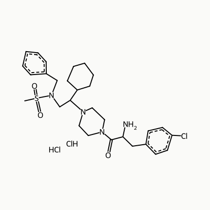 CS(=O)(=O)N(Cc1ccccc1)CC(C1CCCCC1)N1CCN(C(=O)C(N)Cc2ccc(Cl)cc2)CC1.Cl.Cl